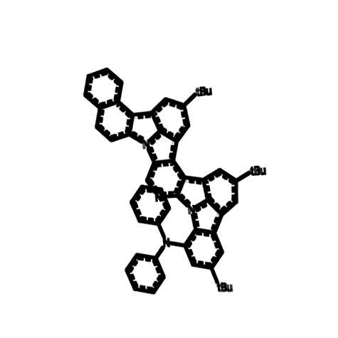 CC(C)(C)c1cc(N(c2ccccc2)c2ccccc2)c2c(c1)c1cc(C(C)(C)C)cc3c4c5c6cc(C(C)(C)C)cc7c8c9ccccc9ccc8n(c5cnc4n2c13)c76